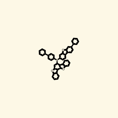 c1ccc(-c2ccc(N(c3ccc4c(c3)oc3cc(-c5ccccc5)ccc34)c3cc4oc5ccccc5c4c4oc5ccccc5c34)cc2)cc1